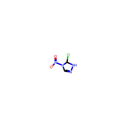 O=[N+]([O-])N1C=NNC1Cl